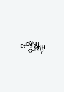 CCc1ccc2nc(Nc3cc(Cc4ccccc4)nc(N[C@H]4CC[C@@H](C)C4)n3)sc2c1